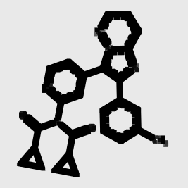 Cc1cccc(-c2nc3cccnn3c2-c2ccnc(N(C(=O)C3CC3)C(=O)C3CC3)c2)c1